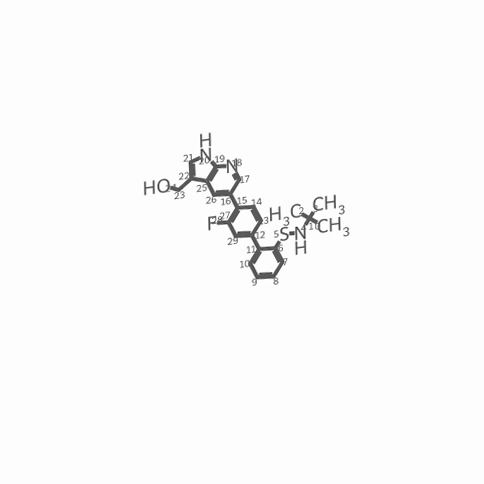 CC(C)(C)NSc1ccccc1-c1ccc(-c2cnc3[nH]cc(CO)c3c2)c(F)c1